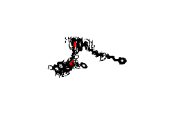 CCN(CC(=O)OCC(=O)[C@@]12O[C@H](C3CCCCC3)O[C@@H]1C[C@H]1[C@@H]3CCC4=CC(=O)C=C[C@]4(C)[C@H]3[C@@H](O)C[C@@]12C)Cc1cc(C(O)CNCCCCCCOCCCCc2ccccc2)ccc1OP(=O)(O)O